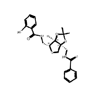 CC1(C)O[C@@H]2[C@@H](CNC(=O)c3ccccc3C#N)OC[C@]2(CNC(=O)c2ccccc2)O1